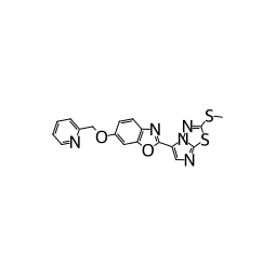 CSc1nn2c(-c3nc4ccc(OCc5ccccn5)cc4o3)cnc2s1